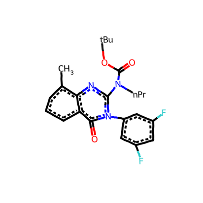 CCCN(C(=O)OC(C)(C)C)c1nc2c(C)cccc2c(=O)n1-c1cc(F)cc(F)c1